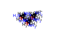 CC(C)(N)c1cc(C(C)(C)N)c([O-])c(C(C)(C)N)c1.CC(C)(N)c1cc(C(C)(C)N)c([O-])c(C(C)(C)N)c1.CC(C)(N)c1cc(C(C)(C)N)c([O-])c(C(C)(C)N)c1.[Al+3]